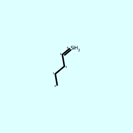 CCCC=[SiH2]